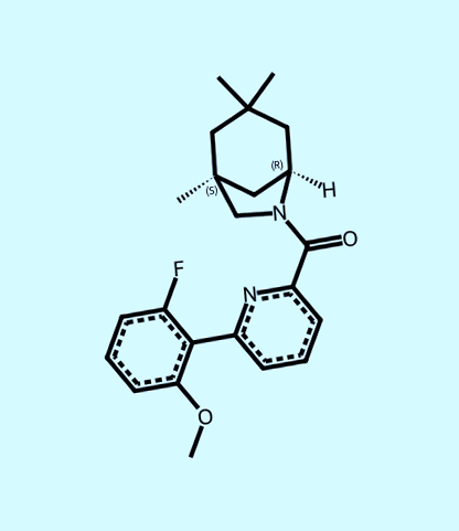 COc1cccc(F)c1-c1cccc(C(=O)N2C[C@]3(C)C[C@H]2CC(C)(C)C3)n1